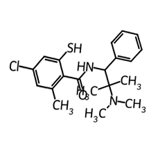 Cc1cc(Cl)cc(S)c1C(=O)NC(c1ccccc1)C(C)(C)N(C)C